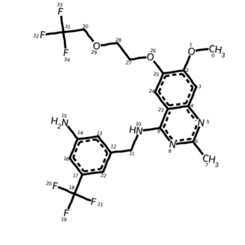 COc1cc2nc(C)nc(NCc3cc(N)cc(C(F)(F)F)c3)c2cc1OCCOCC(F)(F)F